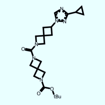 CC(C)(C)OC(=O)N1CC2(C1)CN(C(=O)N1CC3(CC(n4cnc(C5CC5)n4)C3)C1)C2